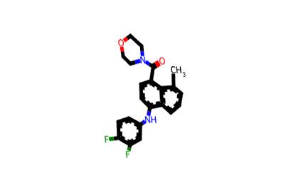 Cc1cccc2c(Nc3ccc(F)c(F)c3)ccc(C(=O)N3CCOCC3)c12